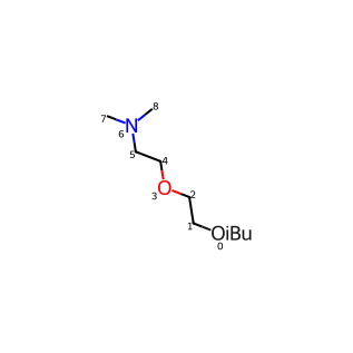 CC(C)COCCOCCN(C)C